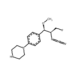 CO[C@H](c1ccc(N2CCNCC2)cc1)[C@@H](CF)N=[N+]=[N-]